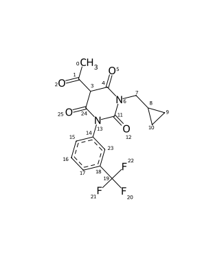 CC(=O)C1C(=O)N(CC2CC2)C(=O)N(c2cccc(C(F)(F)F)c2)C1=O